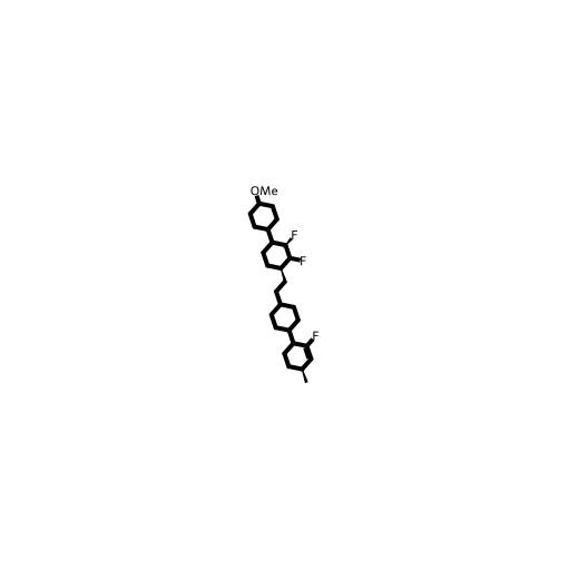 COC1CCC(C2CC[C@H](CCC3CCC(C4CC[C@H](C)C=C4F)CC3)C(F)[C@@H]2F)CC1